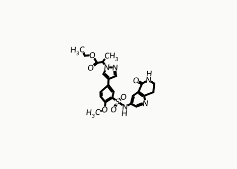 CCOC(=O)C(C)n1cc(-c2ccc(OC)c(S(=O)(=O)Nc3cnc4c(c3)C(=O)NCC4)c2)cn1